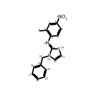 Cc1cc([N+](=O)[O-])ccc1N=c1sccn1Cc1ccccc1